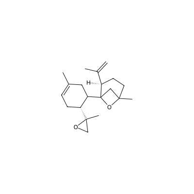 C=C(C)[C@H]1CCC2(C)CC1(C1CC(C)=CC[C@H]1C1(C)CO1)O2